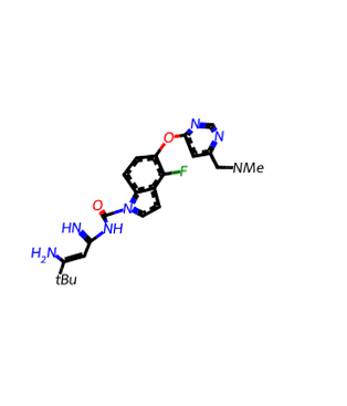 CNCc1cc(Oc2ccc3c(ccn3C(=O)NC(=N)/C=C(\N)C(C)(C)C)c2F)ncn1